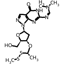 CSS[C@H](C)O[C@@H]1C[C@H](n2ncc3c(=O)[nH]c(/N=C\N(C)C)nc32)O[C@@H]1CO